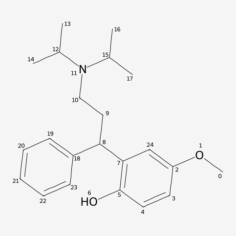 COc1ccc(O)c(C(CCN(C(C)C)C(C)C)c2ccccc2)c1